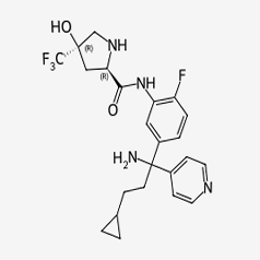 NC(CCC1CC1)(c1ccncc1)c1ccc(F)c(NC(=O)[C@H]2C[C@](O)(C(F)(F)F)CN2)c1